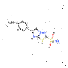 CC(=O)Nc1ccc(-c2cn3nc(S(N)(=O)=O)sc3n2)cc1